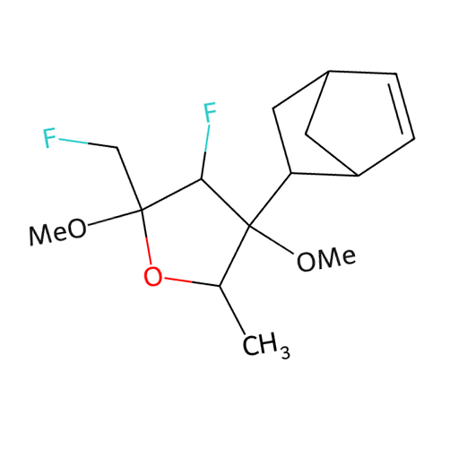 COC1(CF)OC(C)C(OC)(C2CC3C=CC2C3)C1F